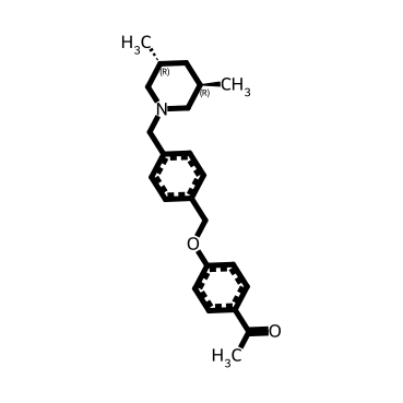 CC(=O)c1ccc(OCc2ccc(CN3C[C@H](C)C[C@@H](C)C3)cc2)cc1